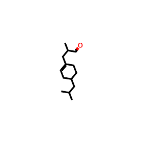 CC(C)CC1CC=C(CC(C)C=O)CC1